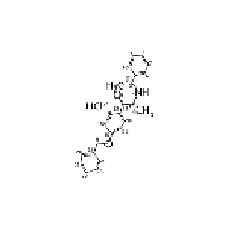 C[C@@H](N[C@H](C)c1ccccc1)C(=O)c1ccc(OCc2ccccc2)cc1.Cl